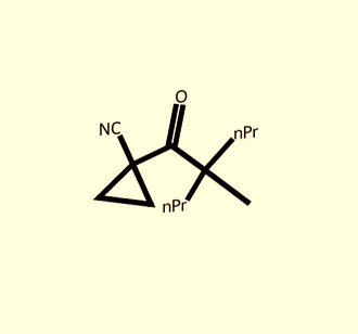 CCCC(C)(CCC)C(=O)C1(C#N)CC1